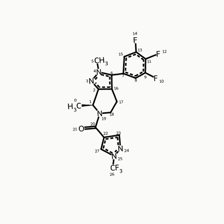 C[C@H]1c2nn(C)c(-c3cc(F)c(F)c(F)c3)c2CCN1C(=O)c1cnn(C(F)(F)F)c1